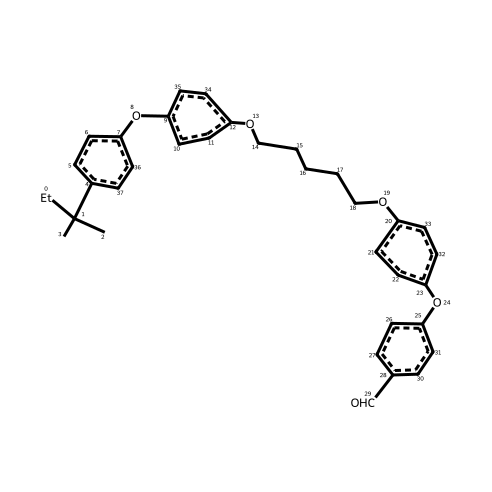 CCC(C)(C)c1ccc(Oc2ccc(OCCCCCOc3ccc(Oc4ccc(C=O)cc4)cc3)cc2)cc1